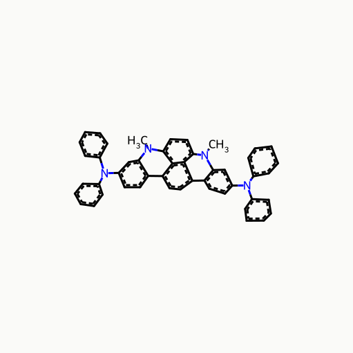 CN1c2cc(N(c3ccccc3)c3ccccc3)ccc2-c2ccc3c4c(ccc1c24)N(C)c1cc(N(c2ccccc2)c2ccccc2)ccc1-3